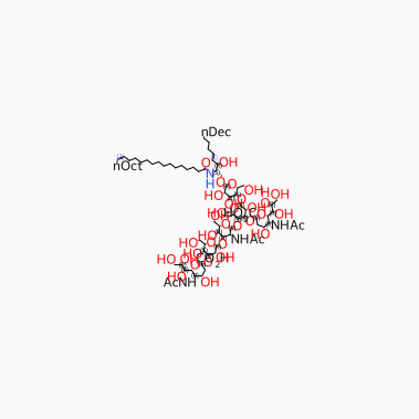 CCCCCCCC/C=C\CCCCCCCCCCCCCC(=O)N[C@@H](CO[C@@H]1OC(CO)[C@@H](O[C@@H]2OC(CO)[C@H](O[C@@H]3OC(CO)[C@H](O)[C@H](O[C@@H]4OC(CO)[C@H](O)[C@H](O[C@]5(C(=O)O)CC(O)[C@@H](NC(C)=O)C([C@H](O)[C@H](O)CO)O5)C4O)C3NC(C)=O)[C@H](O[C@]3(C(=O)O)CC(O)[C@@H](NC(C)=O)C([C@H](O)[C@H](O)CO)O3)C2O)[C@H](O)C1O)[C@H](O)/C=C/CCCCCCCCCCCCC